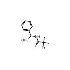 CCC(C)(C)C(=O)NC([C]=O)c1ccccc1